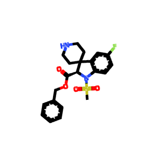 CS(=O)(=O)N1c2ccc(F)cc2C2(CCNCC2)[C@@H]1C(=O)OCc1ccccc1